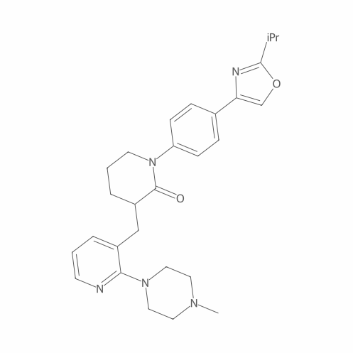 CC(C)c1nc(-c2ccc(N3CCCC(Cc4cccnc4N4CCN(C)CC4)C3=O)cc2)co1